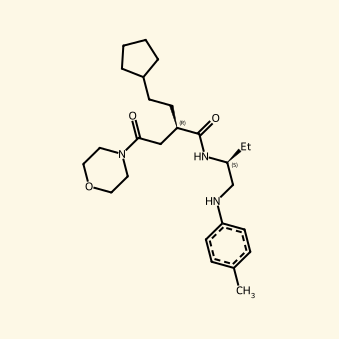 CC[C@@H](CNc1ccc(C)cc1)NC(=O)[C@H](CCC1CCCC1)CC(=O)N1CCOCC1